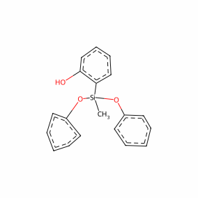 C[Si](Oc1ccccc1)(Oc1ccccc1)c1ccccc1O